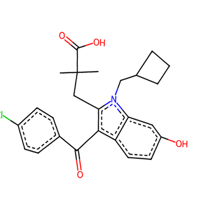 CC(C)(Cc1c(C(=O)c2ccc(Cl)cc2)c2ccc(O)cc2n1CC1CCC1)C(=O)O